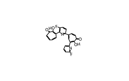 O=c1ccc(-c2ccc(F)c(-c3ccccc(=O)c3O)n2)cc(-c2cccc(F)n2)c1O